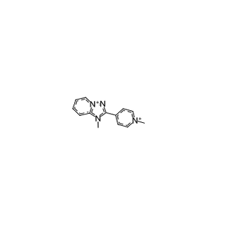 Cn1c(-c2cc[n+](C)cc2)n[n+]2ccccc12